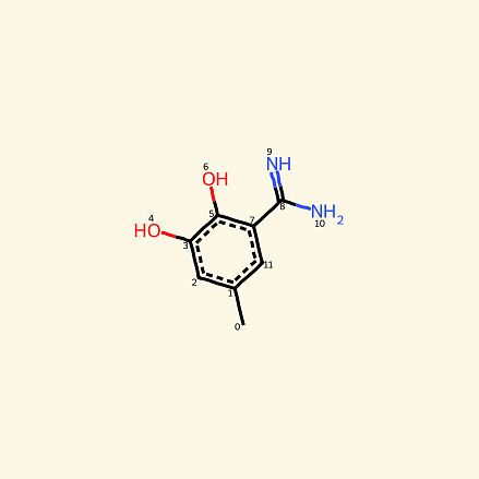 Cc1cc(O)c(O)c(C(=N)N)c1